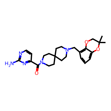 CC1(C)COc2c(CN3CCC4(CC3)CCN(C(=O)c3ccnc(N)n3)CC4)cccc2O1